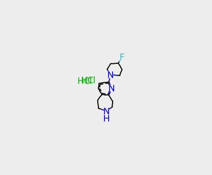 Cl.Cl.FC1CCN(c2ccc3c(n2)CCNCC3)CC1